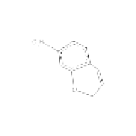 O=[N+]([O-])c1ccc2c(c1)OCC=C2